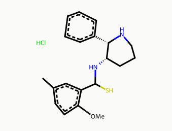 COc1ccc(C)cc1C(S)N[C@H]1CCCN[C@H]1c1ccccc1.Cl